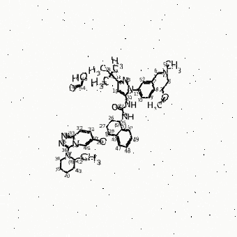 COCCN(C)Cc1cccc(-n2nc(C(C)(C)C)cc2NC(=O)N[C@H]2CC[C@@H](Oc3ccc4nnc(N5CCCC[C@@H]5C)n4c3)c3ccccc32)c1.O=CO